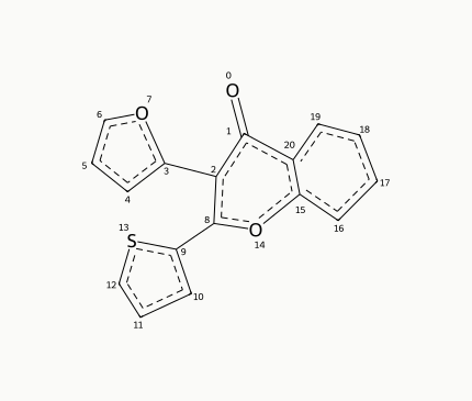 O=c1c(-c2ccco2)c(-c2cccs2)oc2ccccc12